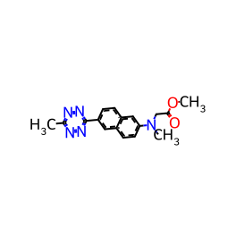 COC(=O)CN(C)c1ccc2cc(-c3nnc(C)nn3)ccc2c1